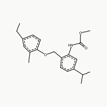 CCc1ccc(OCc2ccc(C(C)C)cc2NC(=O)OC)c(C)c1